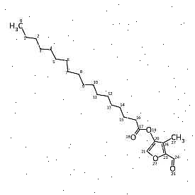 CCCCCCCCCCCCCCCCCC(=O)Oc1coc(C=O)c1C